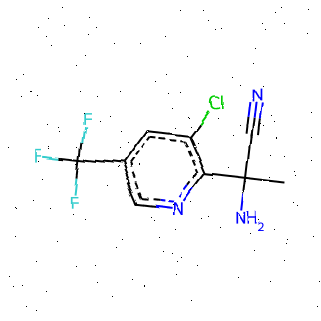 CC(N)(C#N)c1ncc(C(F)(F)F)cc1Cl